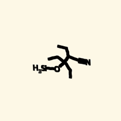 CCC(C#N)C(CC)(CC)O[SiH3]